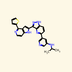 CC(C)Nc1cncc(-c2ccc3[nH]nc(-c4cc5c(-c6cccs6)nccc5[nH]4)c3n2)c1